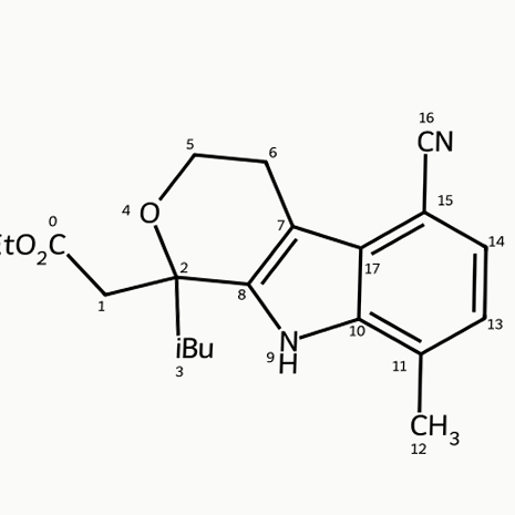 CCOC(=O)CC1(C(C)CC)OCCc2c1[nH]c1c(C)ccc(C#N)c21